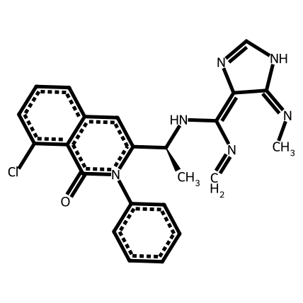 C=N/C(N[C@@H](C)c1cc2cccc(Cl)c2c(=O)n1-c1ccccc1)=C1/N=CN/C1=N/C